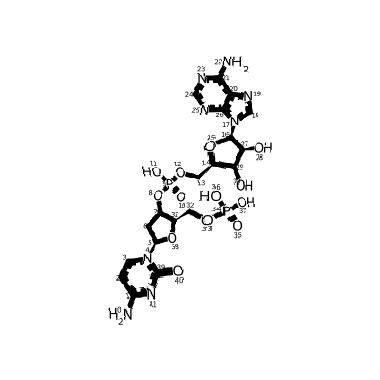 Nc1ccn([C@H]2CC(OP(=O)(O)OC[C@H]3O[C@@H](n4cnc5c(N)ncnc54)[C@@H](O)C3O)[C@@H](COP(=O)(O)O)O2)c(=O)n1